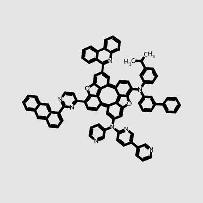 CC(C)c1cccc(N(c2cccc(-c3ccccc3)c2)c2ccc3c4cc(-c5nc6ccccc6c6ccccc56)cc5oc6c(-c7ccnc(-c8cccc9cc%10ccccc%10cc89)n7)ccc(c7cc(N(c8cccnc8)c8ccc(-c9cccnc9)cn8)cc8oc2c3c87)c6c54)c1